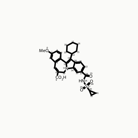 COc1ccc2c(c1)C=C(C(=O)O)Cn1c-2c(C2CCCCC2)c2ccc(C(=O)NS(=O)(=O)C3CC3)cc21